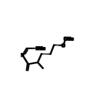 C=C(/N=C\NC)C(C)CCCOOC